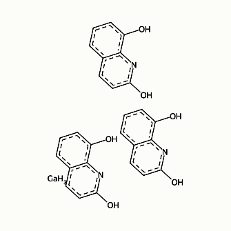 Oc1ccc2cccc(O)c2n1.Oc1ccc2cccc(O)c2n1.Oc1ccc2cccc(O)c2n1.[GaH3]